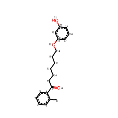 Cc1ccccc1C(=O)CCCCCCOc1cccc(O)c1